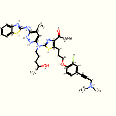 COC(=O)c1nc(N(CCCC(C)O)c2cc(C)c(Nc3nc4ccccc4s3)nn2)sc1CCCOc1ccc(C#CCN(C)C)cc1F